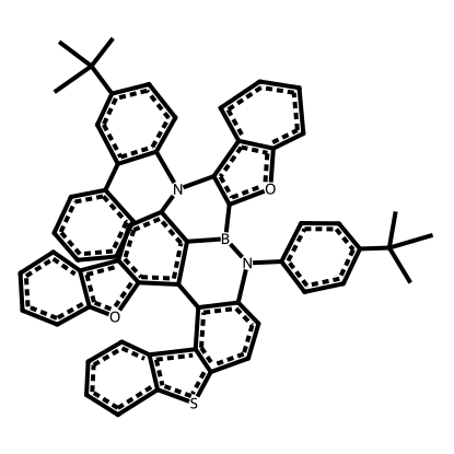 CC(C)(C)c1ccc(N2B3c4oc5ccccc5c4N(c4ccc(C(C)(C)C)cc4-c4ccccc4)c4cc5c(oc6ccccc65)c(c43)-c3c2ccc2sc4ccccc4c32)cc1